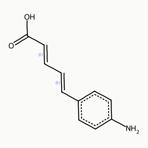 Nc1ccc(/C=C/C=C/C(=O)O)cc1